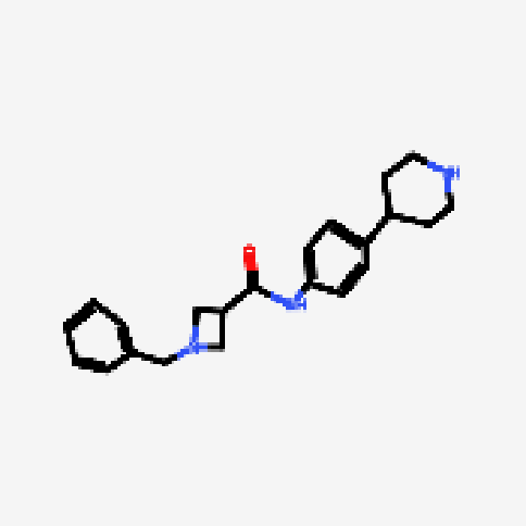 O=C(Nc1ccc(C2CCNCC2)cc1)C1CN(Cc2ccccc2)C1